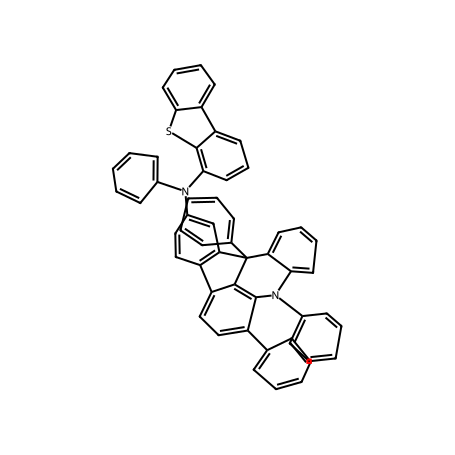 c1ccc(-c2ccc3c4c2N(c2ccccc2)c2ccccc2C4(c2ccccc2)c2cc(N(c4ccccc4)c4cccc5c4sc4ccccc45)ccc2-3)cc1